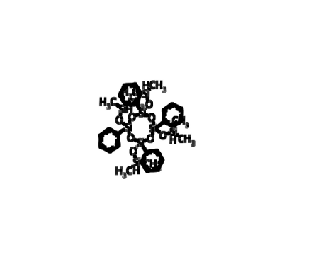 C[SiH](C)O[Si]1(c2ccccc2)O[Si](O[SiH](C)C)(c2ccccc2)O[Si](O[SiH](C)C)(c2ccccc2)O[Si](O[SiH](C)C)(c2ccccc2)O1